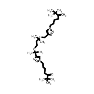 C=C(CCCCn1cc(COC(C)(C)CCOC(C)(C)c2cn(CCCCC(=O)C(C)(C)C)nn2)nn1)C(C)(C)C